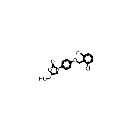 O=C1O[C@@H](CO)CN1c1ccc(OCc2c(Cl)cccc2Cl)cc1